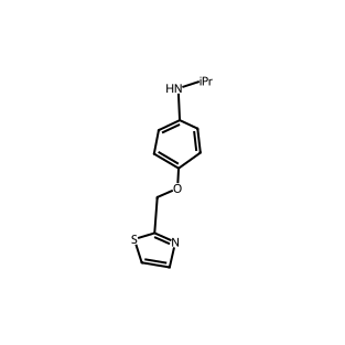 CC(C)Nc1ccc(OCc2nccs2)cc1